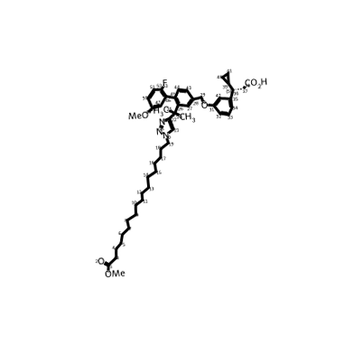 COC(=O)CCCCCCCCCCCCCCCCCn1cc(C(C)(C)c2cc(COc3cccc([C@@H](CC(=O)O)C4CC4)c3)ccc2-c2cc(OC)ccc2F)nn1